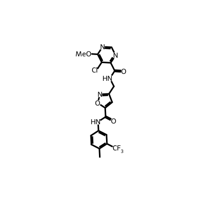 COc1ncnc(C(=O)NCc2cc(C(=O)Nc3ccc(C)c(C(F)(F)F)c3)on2)c1Cl